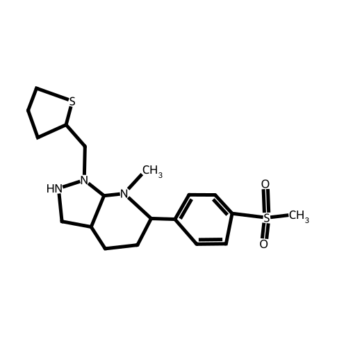 CN1C(c2ccc(S(C)(=O)=O)cc2)CCC2CNN(CC3CCCS3)C21